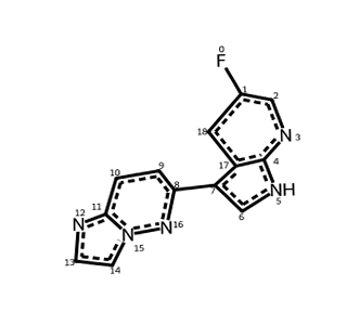 Fc1cnc2[nH]cc(-c3ccc4nccn4n3)c2c1